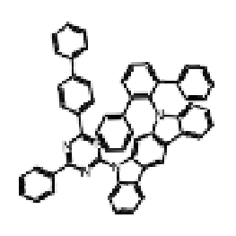 c1ccc(-c2ccc(-c3nc(-c4ccccc4)nc(-n4c5ccccc5c5cc6c7ccccc7n(-c7c(-c8ccccc8)cccc7-c7ccccc7)c6cc54)n3)cc2)cc1